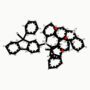 CC1(C)c2ccccc2-c2cccc(-c3ccccc3N(c3ccc4c(c3)C(C)(c3ccccc3)c3ccccc3-4)c3ccccc3-c3cccc4oc5ccccc5c34)c21